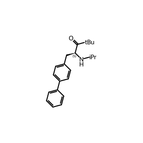 CC(C)N[C@@H](Cc1ccc(-c2ccccc2)cc1)C(=O)C(C)(C)C